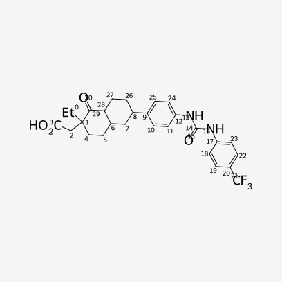 CCC1(CC(=O)O)CCC2CC(c3ccc(NC(=O)Nc4ccc(C(F)(F)F)cc4)cc3)CCC2C1=O